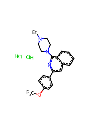 CCN1CCN(c2nc(-c3ccc(OC(F)(F)F)cc3)cc3ccccc23)CC1.Cl.Cl